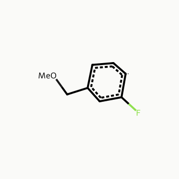 COCc1cc[c]c(F)c1